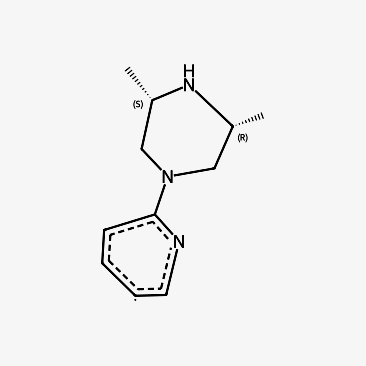 C[C@@H]1CN(c2cc[c]cn2)C[C@H](C)N1